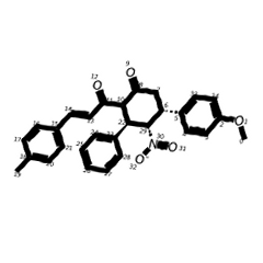 COc1ccc([C@H]2CC(=O)C(C(=O)/C=C/c3ccc(C)cc3)[C@H](c3ccccc3)[C@H]2[N+](=O)[O-])cc1